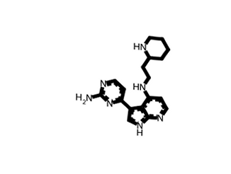 Nc1nccc(-c2c[nH]c3nccc(NCCC4CCCCN4)c23)n1